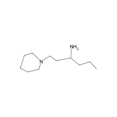 CCCC(N)CCN1CCCCC1